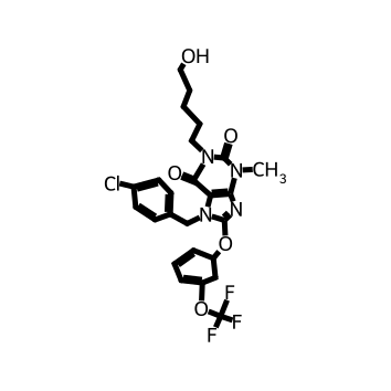 Cn1c(=O)n(CCCCCO)c(=O)c2c1nc(OC1C=CC=C(OC(F)(F)F)C1)n2Cc1ccc(Cl)cc1